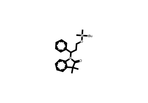 CC1(C)C(=O)N(C(CCO[Si](C)(C)C(C)(C)C)c2ccccc2)c2ccccc21